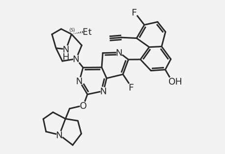 C#Cc1c(F)ccc2cc(O)cc(-c3ncc4c(N5CC6CC[C@@](CC)(C5)N6)nc(OCC56CCCN5CCC6)nc4c3F)c12